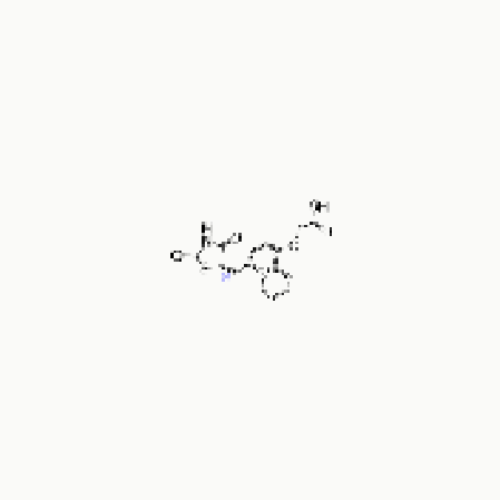 O=C(O)COc1ccc(/C=C2/SC(=O)NC2=O)c2ccccc12